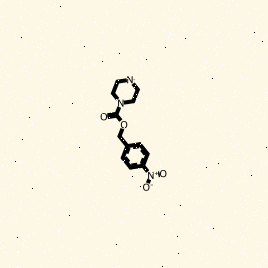 O=C(OCc1ccc([N+](=O)[O-])cc1)N1CC[N]CC1